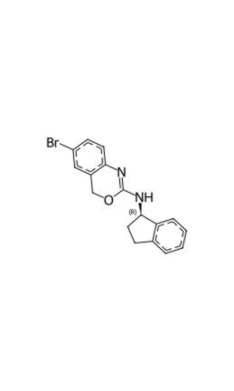 Brc1ccc2c(c1)COC(N[C@@H]1CCc3ccccc31)=N2